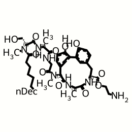 CCCCCCCCCCCCCCCC(=O)N(C)[C@H](CO)C(=O)N[C@H](C)C(=O)NCC(=O)N(C)[C@@H]1C(=O)N[C@@H](C)C(=O)N[C@H](C(=O)OCCN)Cc2ccc(O)c(c2)-c2cc1ccc2O